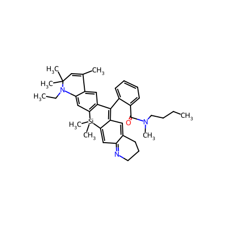 CCCCN(C)C(=O)c1ccccc1C1=c2cc3c(cc2[Si](C)(C)c2cc4c(cc21)C(C)=CC(C)(C)N4CC)=NCCC3